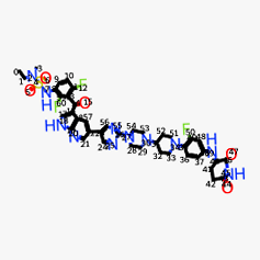 CCN(C)S(=O)(=O)Nc1ccc(F)c(C(=O)c2c[nH]c3ncc(-c4cnc(N5CCN(C6CCN(c7ccc(NC8CCC(=O)NC8=O)cc7F)CC6)CC5)nc4)cc23)c1F